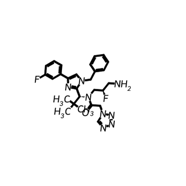 CC(C)(C)[C@H](c1nc(-c2cccc(F)c2)cn1Cc1ccccc1)N(C[C@H](F)CN)C(=O)Cn1cnnn1